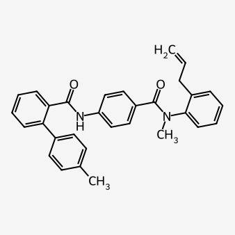 C=CCc1ccccc1N(C)C(=O)c1ccc(NC(=O)c2ccccc2-c2ccc(C)cc2)cc1